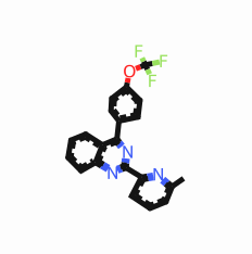 Cc1cccc(-c2nc(-c3ccc(OC(F)(F)F)cc3)c3ccccc3n2)n1